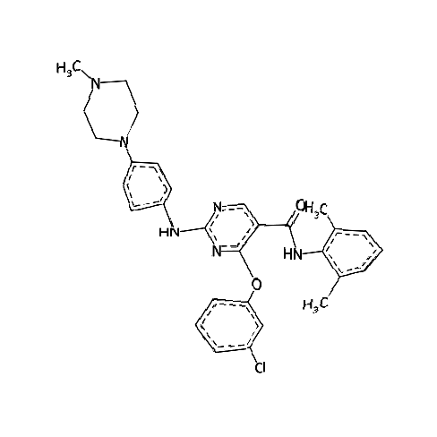 Cc1cccc(C)c1NC(=O)c1cnc(Nc2ccc(N3CCN(C)CC3)cc2)nc1Oc1cccc(Cl)c1